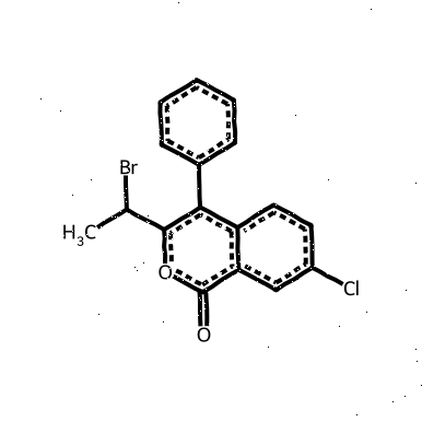 CC(Br)c1oc(=O)c2cc(Cl)ccc2c1-c1ccccc1